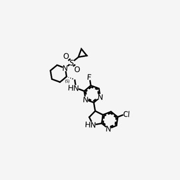 O=S(=O)(C1CC1)N1CCCC[C@H]1CNc1nc(C2CNc3ncc(Cl)cc32)ncc1F